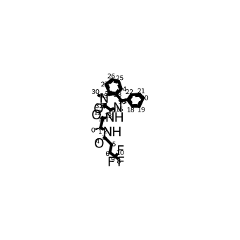 C[C@H](NC(=O)CCC(F)(F)F)C(=O)N[C@H]1N=C(c2ccccc2)c2ccccc2N(C)C1=O